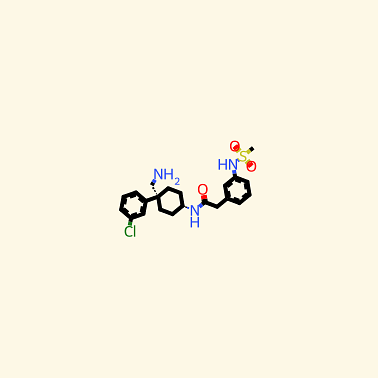 CS(=O)(=O)Nc1cccc(CC(=O)N[C@H]2CC[C@](CN)(c3cccc(Cl)c3)CC2)c1